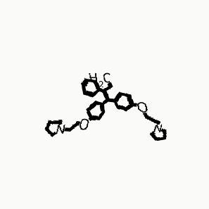 C=CC(=C(c1ccc(OCCN2CCCC2)cc1)c1ccc(OCCN2CCCC2)cc1)c1ccccc1